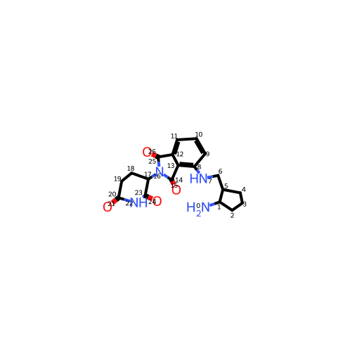 NC1CCCC1CNc1cccc2c1C(=O)N(C1CCC(=O)NC1=O)C2=O